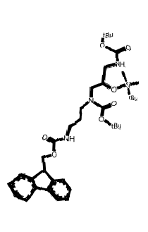 CC(C)(C)OC(=O)NCC(CN(CCCNC(=O)OCC1c2ccccc2-c2ccccc21)C(=O)OC(C)(C)C)O[Si](C)(C)C(C)(C)C